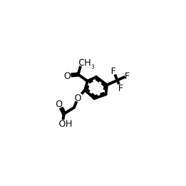 CC(=O)c1cc(C(F)(F)F)ccc1OCC(=O)O